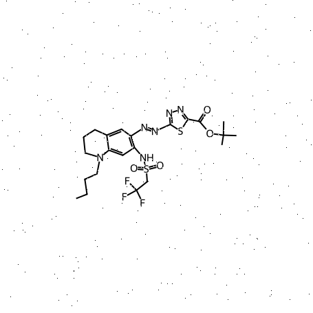 CCCCN1CCCc2cc(N=Nc3nnc(C(=O)OC(C)(C)C)s3)c(NS(=O)(=O)CC(F)(F)F)cc21